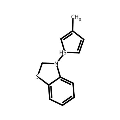 CC1=C[SH](N2CSc3ccccc32)C=C1